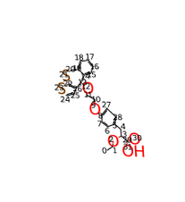 CCOC(Cc1ccc(OCCOC2c3ccccc3CSc3sccc32)cc1)C(=O)O